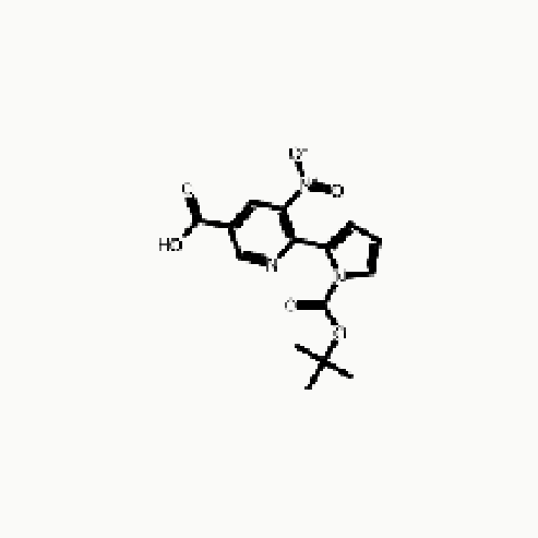 CC(C)(C)OC(=O)n1cccc1-c1ncc(C(=O)O)cc1[N+](=O)[O-]